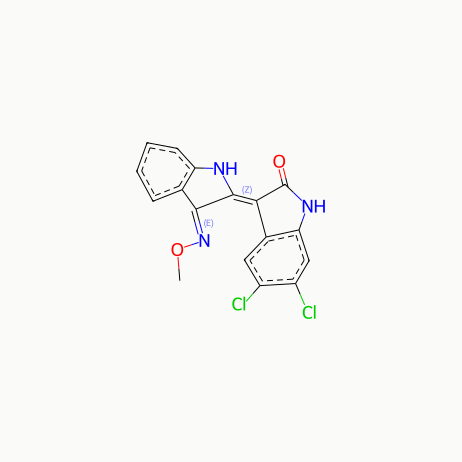 CO/N=C1/C(=C2/C(=O)Nc3cc(Cl)c(Cl)cc32)Nc2ccccc21